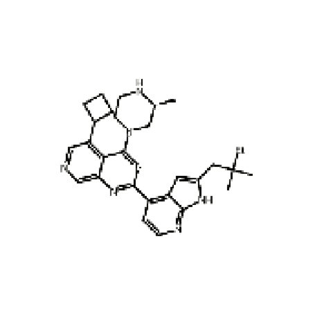 CCC(C)(C)Cc1cc2c(-c3nc(N4CCN[C@@H](C)C4)c4c(C5CCC5)cncc4n3)ccnc2[nH]1